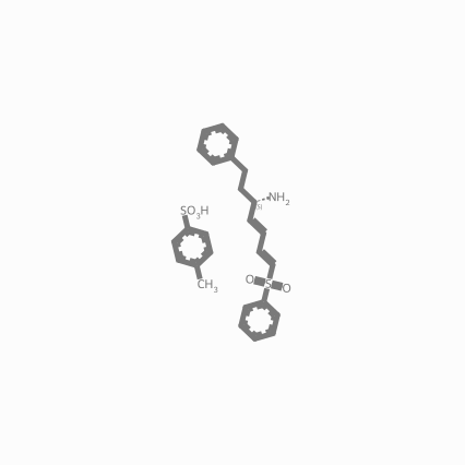 Cc1ccc(S(=O)(=O)O)cc1.N[C@H](C=CC=CS(=O)(=O)c1ccccc1)CCc1ccccc1